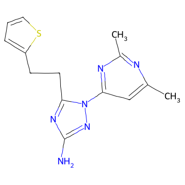 Cc1cc(-n2nc(N)nc2CCc2cccs2)nc(C)n1